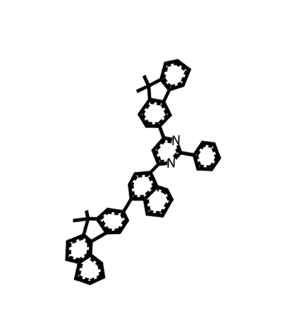 CC1(C)c2ccccc2-c2cc(-c3cc(-c4ccc(-c5ccc6c(c5)C(C)(C)c5ccc7ccccc7c5-6)c5ccccc45)nc(-c4ccccc4)n3)ccc21